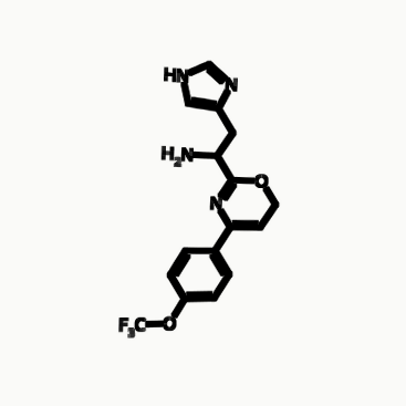 NC(Cc1c[nH]cn1)C1=NC(c2ccc(OC(F)(F)F)cc2)=CCO1